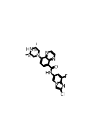 C[C@@H]1CN(c2ccc(C(=O)Nc3cc(F)c4nc(Cl)cn4c3)c3nccnc23)C[C@@H](C)N1